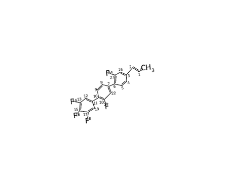 CC=Cc1ccc(-c2ccc(-c3cc(F)c(F)c(F)c3)c(F)c2)c(F)c1